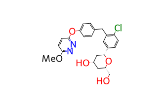 COc1ccc(Oc2ccc(Cc3cc([C@H]4C[C@@H](O)C[C@@H](CO)O4)ccc3Cl)cc2)nn1